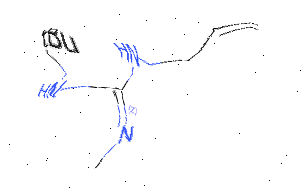 C=CCN/C(=N/C)NC(C)(C)C